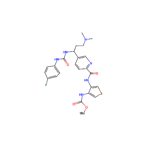 CN(C)CCC(NC(=O)Nc1ccc(F)cc1)c1ccc(C(=O)Nc2cscc2NC(=O)OC(C)(C)C)nc1